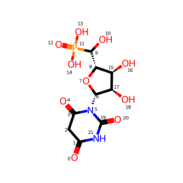 O=C1CC(=O)N([C@@H]2O[C@H](C(O)P(=O)(O)O)[C@@H](O)[C@H]2O)C(=O)N1